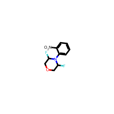 O=[N+]([O-])c1ccccc1N1C(F)COCC1F